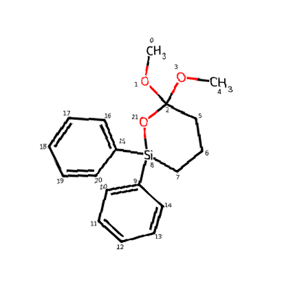 COC1(OC)CCC[Si](c2ccccc2)(c2ccccc2)O1